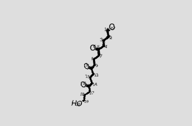 O=CCCCC(=O)CCCC(=O)CCCC(=O)CCCO